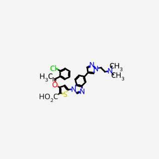 C[C@@H](Oc1cc(-n2cnc3cc(-c4cnn(CCN(C)C)c4)ccc32)sc1C(=O)O)c1ccccc1Cl